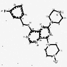 [O-][S+]1CCN(c2nc(N3CCNCC3)nc3c(SCc4cccc(F)c4)ncnc23)CC1